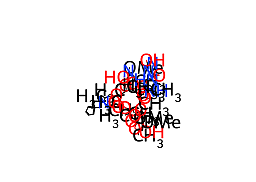 CON=C1C[C@@H](C)O[C@@H](O[C@@H]2[C@@H](C)[C@H](O[C@H]3CC(C)N(CCc4ccccc4)C[C@H](C)O3)[C@@H](C)C(=O)O[C@H](C(C)CO[C@@H]3O[C@H](C)[C@@H](O)[C@@H](OC)[C@H]3OC)[C@H](C)[C@@H](OC(=O)CC(C)C)[C@@H](C)C(=O)[C@@](C)(OC(=O)NC(C)(C)CNC(=O)c3cnc(O)cn3)C[C@@H]2C)[C@@H]1O